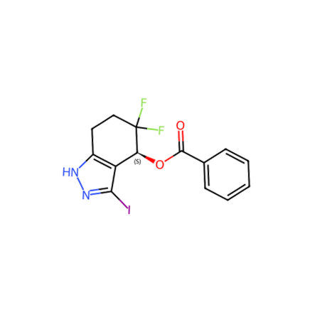 O=C(O[C@H]1c2c(I)n[nH]c2CCC1(F)F)c1ccccc1